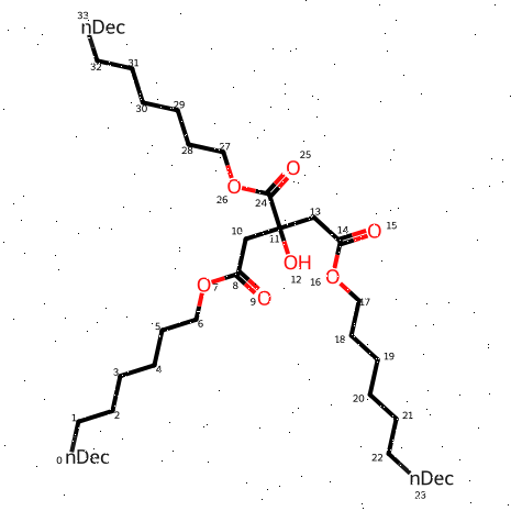 CCCCCCCCCCCCCCCCOC(=O)CC(O)(CC(=O)OCCCCCCCCCCCCCCCC)C(=O)OCCCCCCCCCCCCCCCC